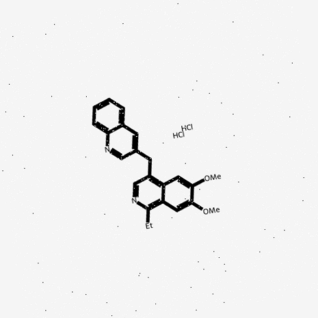 CCc1ncc(Cc2cnc3ccccc3c2)c2cc(OC)c(OC)cc12.Cl.Cl